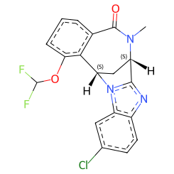 CN1C(=O)c2cccc(OC(F)F)c2[C@@H]2C[C@H]1c1nc3ccc(Cl)cc3n12